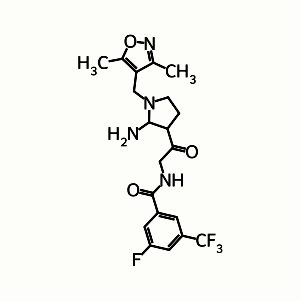 Cc1noc(C)c1CN1CCC(C(=O)CNC(=O)c2cc(F)cc(C(F)(F)F)c2)C1N